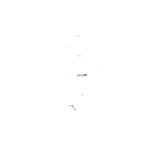 CC(=O)O[C@@H](C)OC(=O)OC1CCOCC1